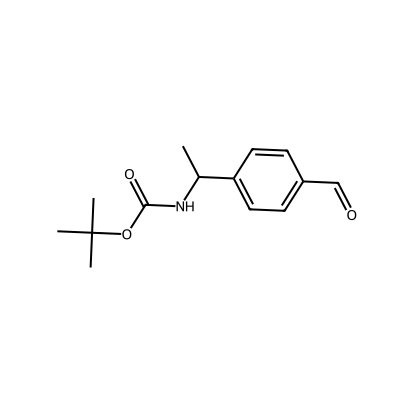 CC(NC(=O)OC(C)(C)C)c1ccc(C=O)cc1